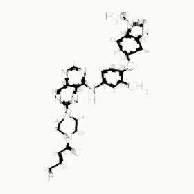 Cc1cc(Nc2ncnc3cnc(N4CCN(C(=O)/C=C/CF)CC4)nc23)ccc1Oc1ccc2c(c1)nnn2C